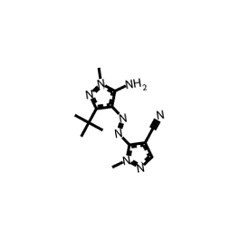 Cn1nc(C(C)(C)C)c(N=Nc2c(C#N)cnn2C)c1N